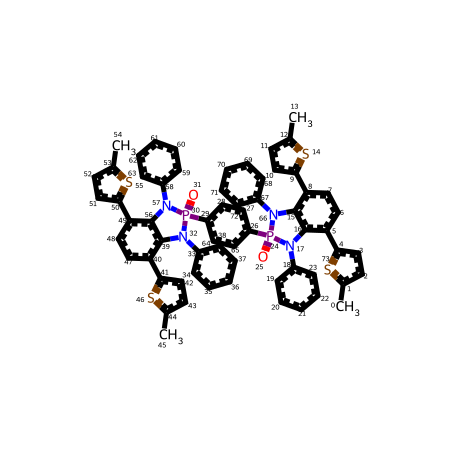 Cc1ccc(-c2ccc(-c3ccc(C)s3)c3c2N(c2ccccc2)P(=O)(c2ccc(P4(=O)N(c5ccccc5)c5c(-c6ccc(C)s6)ccc(-c6ccc(C)s6)c5N4c4ccccc4)cc2)N3c2ccccc2)s1